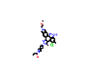 C=CC(=O)N1CC2(CC(n3nc(-c4ccc5cn(CCOC)cc5c4)c(-c4c(Cl)c(C)cc5[nH]ncc45)c3C)C2)C1